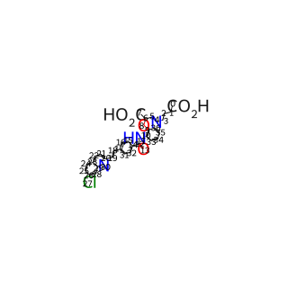 O=C(O)CCCN1CC(C(=O)O)Oc2c(NC(=O)c3ccc(/C=C/c4ccc5ccc(Cl)cc5n4)cc3)cccc21